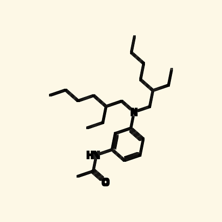 CCCCC(CC)CN(CC(CC)CCCC)c1cccc(NC(C)=O)c1